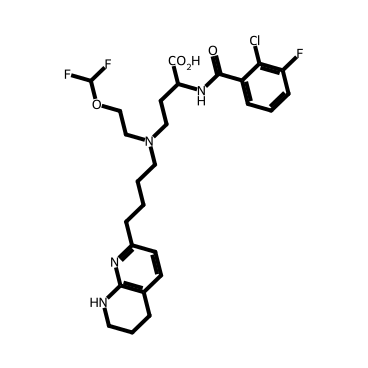 O=C(NC(CCN(CCCCc1ccc2c(n1)NCCC2)CCOC(F)F)C(=O)O)c1cccc(F)c1Cl